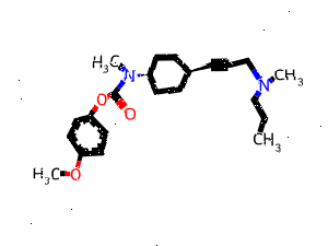 CCCN(C)CC#C[C@H]1CC[C@H](N(C)C(=O)Oc2ccc(OC)cc2)CC1